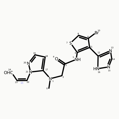 CN(CC(=O)Nc1scc(Br)c1-c1ncn[nH]1)c1ccnn1/C=C\C=O